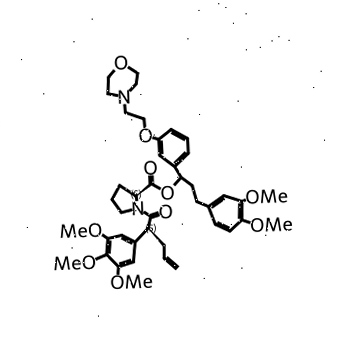 C=CC[C@H](C(=O)N1CCC[C@H]1C(=O)OC(CCc1ccc(OC)c(OC)c1)c1cccc(OCCN2CCOCC2)c1)c1cc(OC)c(OC)c(OC)c1